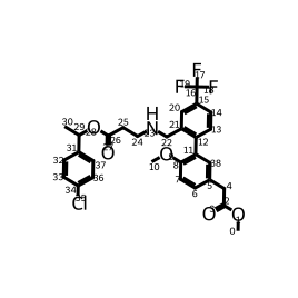 COC(=O)Cc1ccc(OC)c(-c2ccc(C(F)(F)F)cc2CNCCC(=O)OC(C)c2ccc(Cl)cc2)c1